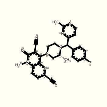 Cc1nccc(C(c2ccc(F)cc2)N2CCN(c3c(C#N)c(=O)n(C)c4ccc(C#N)nc34)C[C@H]2C)n1